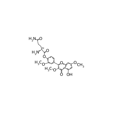 COc1cc(O)c2c(=O)c(OC)c(-c3ccc(OC(=O)[C@@H](N)CCC(N)=O)c(OC)c3)oc2c1